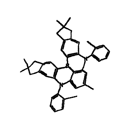 Cc1cc2c3c(c1)N(c1ccccc1C)c1cc4c(cc1B3c1cc3c(cc1N2c1ccccc1C)CC(C)(C)C3)CC(C)(C)C4